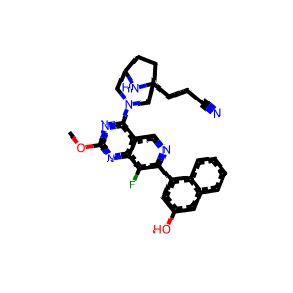 COc1nc(N2CC3CCC(CCC#N)(C2)N3)c2cnc(-c3cc(O)cc4ccccc34)c(F)c2n1